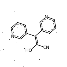 N#CC(O)=C(c1cccnc1)c1cccnc1